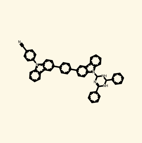 N#Cc1ccc(-n2c3ccccc3c3cc(-c4ccc(-c5ccc6c(c5)c5ccccc5n6C5N=C(c6ccccc6)NC(c6ccccc6)N5)cc4)ccc32)cc1